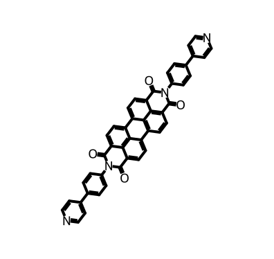 O=C1c2ccc3c4ccc5c6c(ccc(c7ccc(c2c37)C(=O)N1c1ccc(-c2ccncc2)cc1)c64)C(=O)N(c1ccc(-c2ccncc2)cc1)C5=O